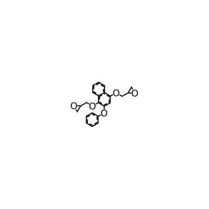 c1ccc(Oc2cc(OCC3CO3)c3ccccc3c2OCC2CO2)cc1